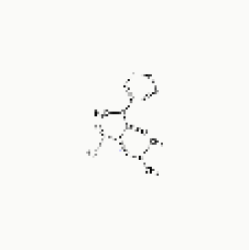 CC(=O)/C(=C/N(C)C)C(=O)N(C)c1cccnc1